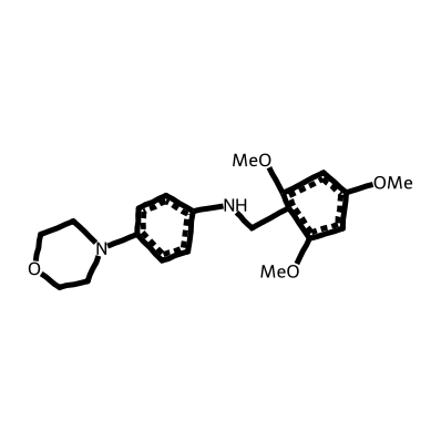 COc1cc(OC)c(CNc2ccc(N3CCOCC3)cc2)c(OC)c1